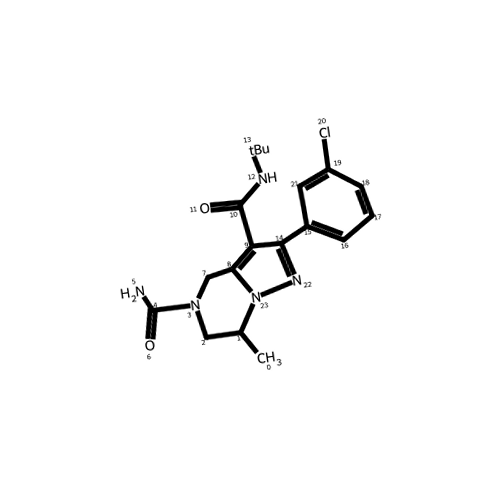 CC1CN(C(N)=O)Cc2c(C(=O)NC(C)(C)C)c(-c3cccc(Cl)c3)nn21